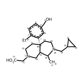 CCc1ccc(O)cc1[C@@]12CCN(CC(=O)O)CC1C(C)N(CC1CC1)CC2